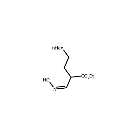 CCCCCCCCC(/C=N\O)C(=O)OCC